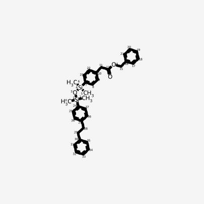 C[Si](C)(O[Si](C)(C)c1ccc(CC(=O)OCc2ccccc2)cc1)c1ccc(CCc2ccccc2)cc1